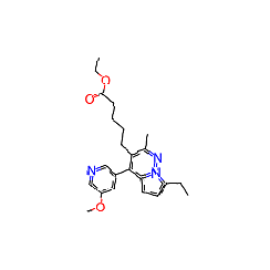 CCOC(=O)CCCCc1c(C)nn2c(CC)ccc2c1-c1cncc(OC)c1